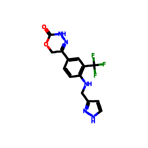 O=C1NN=C(c2ccc(NCc3cc[nH]n3)c(C(F)(F)F)c2)CO1